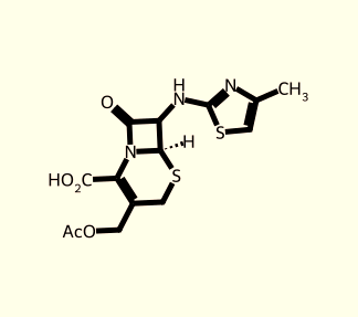 CC(=O)OCC1=C(C(=O)O)N2C(=O)C(Nc3nc(C)cs3)[C@H]2SC1